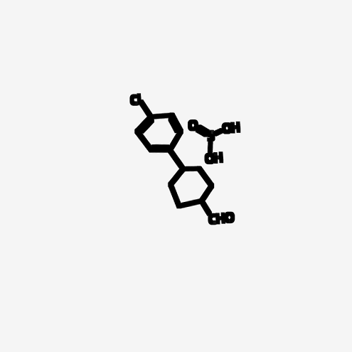 O=CC1CCC(c2ccc(Cl)cc2)CC1.O=S(O)O